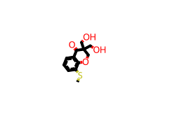 CSc1cccc2c1OCC(CO)(CO)C2=O